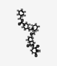 O=C1CCC(N2Cc3cc(OC[C@@H]4CCCCN4CC4CCN(C(=O)OCc5ccccc5)CC4)ccc3C2=O)C(=O)N1